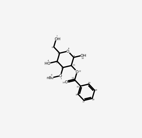 CCCCOC1C(O)C(CO)OC(O)C1OC(=O)c1ccccc1